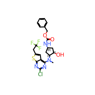 CN(c1nc(Cl)nc2sc(CC(F)(F)F)cc12)[C@H]1C[C@@H](NC(=O)OCc2ccccc2)C[C@H]1O